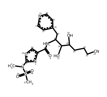 CN(c1nc(C(=O)NC(Cc2ccncc2)C(O)C(O)CCCC#N)cs1)S(C)(=O)=O